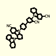 N#Cc1ccc2c(c1)c1ccccc1n2-c1ccc(-c2ccc(-n3c4cc(C#N)ccc4c4c(-n5c6ccccc6c6ccccc65)cccc43)cc2)cc1C#N